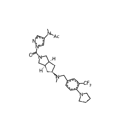 CC(=O)N(C)c1cnn(C(=O)N2C[C@H]3C[C@@H](N(C)Cc4ccc(N5CCCC5)c(C(F)(F)F)c4)C[C@H]3C2)c1